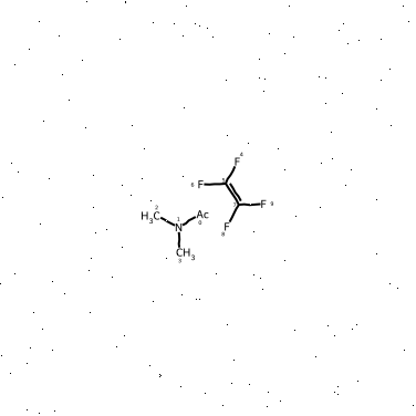 CC(=O)N(C)C.FC(F)=C(F)F